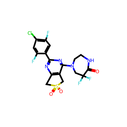 O=C1NCCN(c2nc(-c3cc(F)c(Cl)cc3F)nc3c2CS(=O)(=O)C3)CC1(F)F